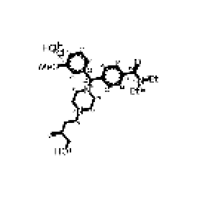 C=C(CO)CCN1CCN(C(c2ccc(C(=O)N(CC)CC)cc2)c2cccc(OC)c2)CC1.Cl.Cl